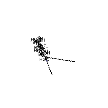 CCCCCCCCCCCCC/C=C/[C@@H](O)C(CO[C@H]1O[C@H](CO)[C@@H](O[C@@H]2O[C@H](CO)[C@H](O[C@H]3O[C@H](CO)[C@H](O)[C@H](O[C@@H]4O[C@H](CO)[C@H](O)[C@H](O)[C@H]4NC(C)=O)[C@H]3O)[C@H](O)[C@H]2O)[C@H](O)[C@H]1O)NC(=O)CCCCCCCCCCCCCCCCCCCCCCCC